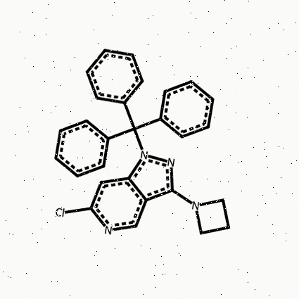 Clc1cc2c(cn1)c(N1CCC1)nn2C(c1ccccc1)(c1ccccc1)c1ccccc1